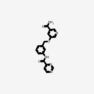 NC(=O)c1cncc(OCc2cccc(NC(=O)c3ccncn3)c2)c1